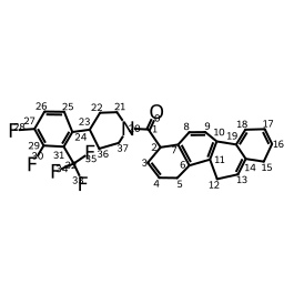 O=C(C1C=CCc2c1ccc1c2CC=C2CC=CC=C21)N1CCC(c2ccc(F)c(F)c2C(F)(F)F)CC1